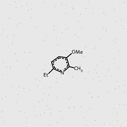 CCc1ccc(OC)c(C)n1